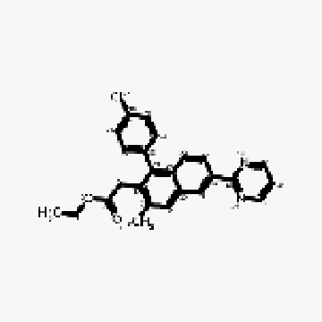 CCOC(=O)Cc1c(C)cc2cc(-c3ncccn3)ccc2c1-c1ccc(Cl)cc1